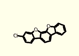 Clc1ccc2c(c1)oc1c2ccc2c3ccccc3oc21